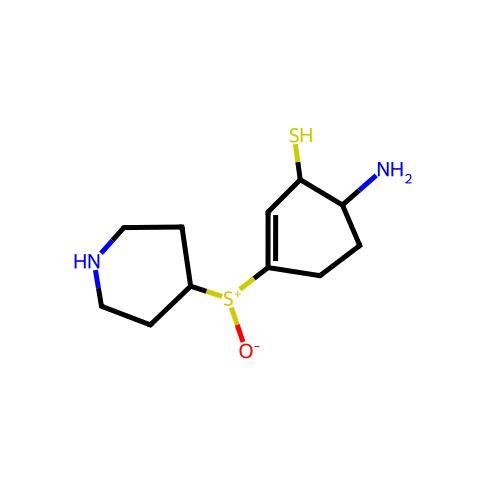 NC1CCC([S+]([O-])C2CCNCC2)=CC1S